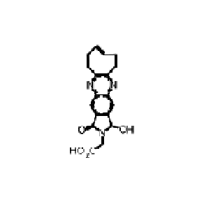 O=C(O)CN1C(=O)c2cc3nc4c(nc3cc2C1O)CC/C=C/CC4